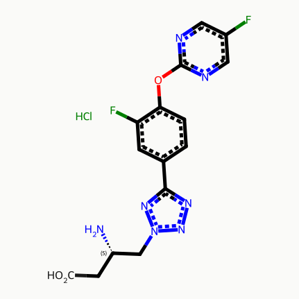 Cl.N[C@@H](CC(=O)O)Cn1nnc(-c2ccc(Oc3ncc(F)cn3)c(F)c2)n1